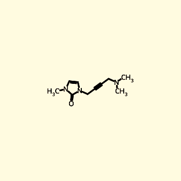 CN(C)CC#CCn1ccn(C)c1=O